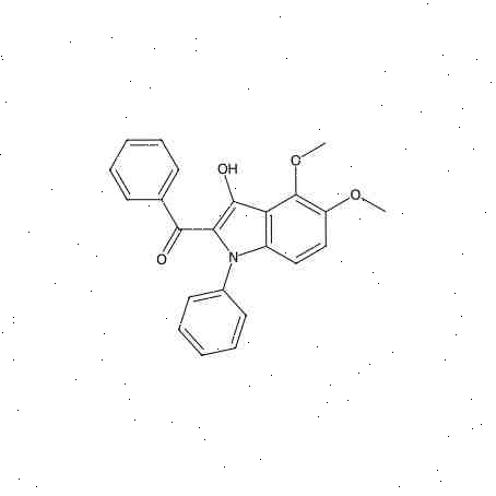 COc1ccc2c(c(O)c(C(=O)c3ccccc3)n2-c2ccccc2)c1OC